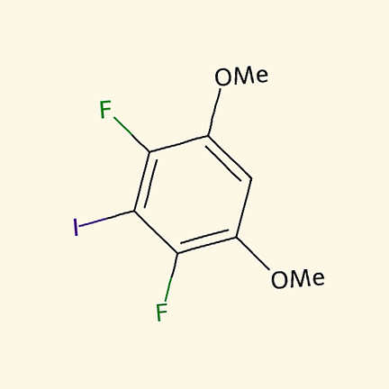 COc1cc(OC)c(F)c(I)c1F